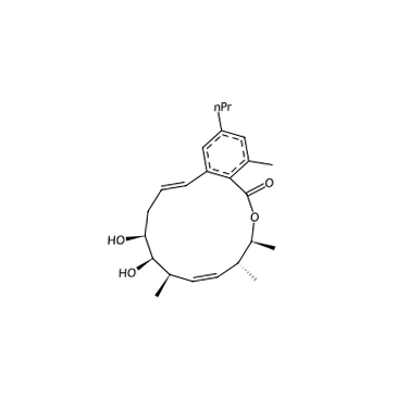 CCCc1cc(C)c2c(c1)/C=C/C[C@H](O)[C@H](O)[C@H](C)/C=C\[C@@H](C)[C@H](C)OC2=O